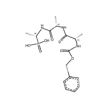 C[C@H](NC(=O)OCc1ccccc1)C(=O)N[C@@H](C)C(=O)N[C@@H](C)P(=O)(O)O